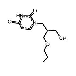 CCCOCC(CO)Cn1ccc(=O)[nH]c1=O